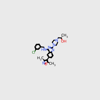 Cc1noc(C)c1-c1ccc2nc(N3CCN(C[C@H](C)O)CC3)nc(NCc3cccc(Cl)c3)c2c1